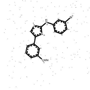 COc1cccc(-c2csc(Nc3cccc(Br)c3)n2)c1